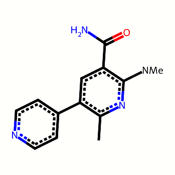 CNc1nc(C)c(-c2ccncc2)cc1C(N)=O